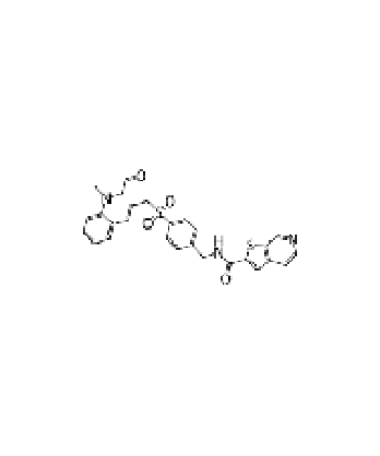 CN(CC=O)c1ccccc1C=CCS(=O)(=O)c1ccc(CNC(=O)c2cc3ccncc3s2)cc1